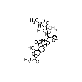 CNC(=O)NC(=O)C(C)(C)ON=C(C(=O)N[C@@H]1C(=O)N2C(C(=O)O)=C(COC(C)=O)CS[C@H]12)c1ccco1